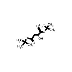 CC(C)(C)OC(=O)C[C@@H](O)C(=O)OC(C)(C)C